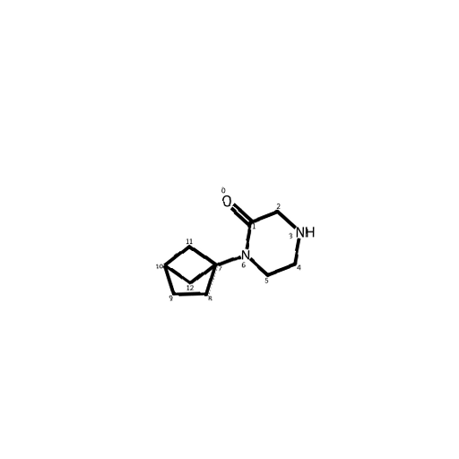 O=C1CNCCN1C12CCC(C1)C2